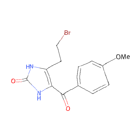 COc1ccc(C(=O)c2[nH]c(=O)[nH]c2CCBr)cc1